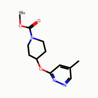 Cc1cnnc(OC2CCN(C(=O)OC(C)(C)C)CC2)c1